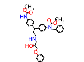 COC(=O)Nc1ccc(C(CCNC[C@H](O)COc2ccccc2)c2ccc(N(Cc3ccccc3)C(=O)OC)cc2)cc1